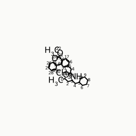 CCCC(CC1CCCCC1)NC(=O)Cc1ccc(C(=O)OC)c(-c2ccccc2C)c1